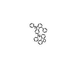 c1ccc(-c2cccc3c2c2cc(N(c4ccccc4)c4cccc5oc6ccccc6c45)ccc2n3-c2ccccc2)cc1